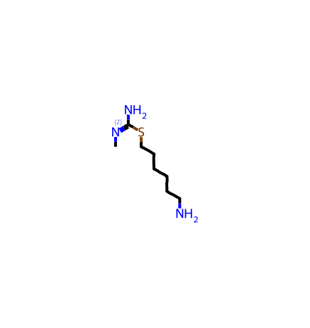 C/N=C(/N)SCCCCCCN